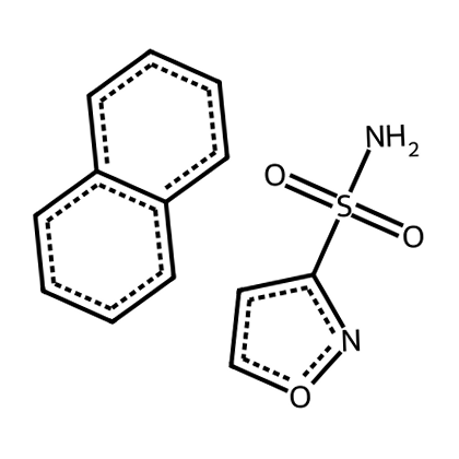 NS(=O)(=O)c1ccon1.c1ccc2ccccc2c1